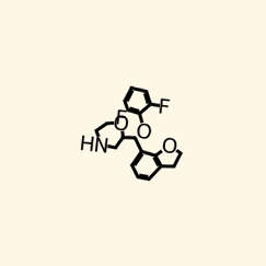 Fc1cccc(F)c1OC(c1cccc2c1OCC2)C1CNCCO1